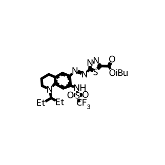 CCC(CC)N1CCCc2cc(N=Nc3nnc(C(=O)OCC(C)C)s3)c(NS(=O)(=O)C(F)(F)F)cc21